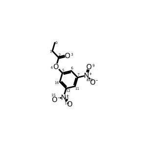 CCC(=O)Oc1cc([N+](=O)[O-])cc([N+](=O)[O-])c1